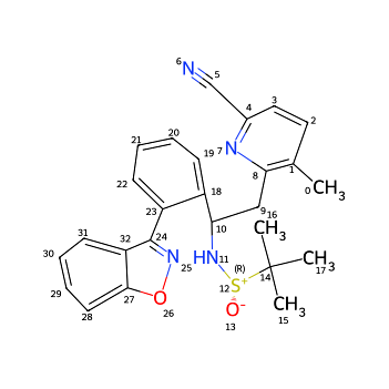 Cc1ccc(C#N)nc1CC(N[S@@+]([O-])C(C)(C)C)c1ccccc1-c1noc2ccccc12